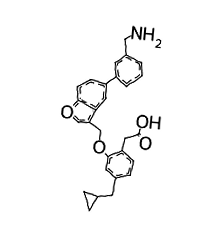 NCc1cccc(-c2ccc3occ(COc4cc(CC5CC5)ccc4CC(=O)O)c3c2)c1